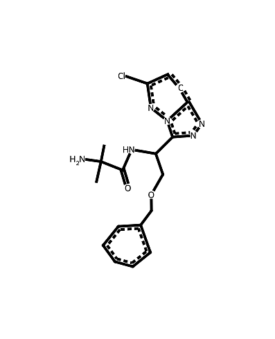 CC(C)(N)C(=O)NC(COCc1ccccc1)c1nnc2ccc(Cl)nn12